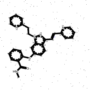 CNC(=O)c1ccccc1Sc1ccc2c(/C=C/c3ccccn3)nn(CCc3ccccn3)c2c1